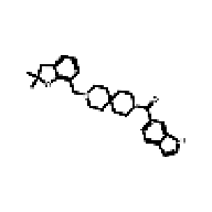 CC1(C)Cc2cccc(CN3CCC4(CC3)CCN(C(=O)c3ccc5cc[nH]c5c3)CC4)c2O1